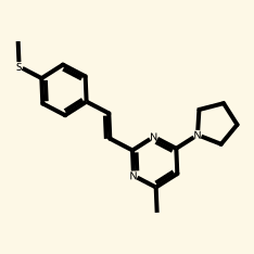 CSc1ccc(/C=C/c2nc(C)cc(N3CCCC3)n2)cc1